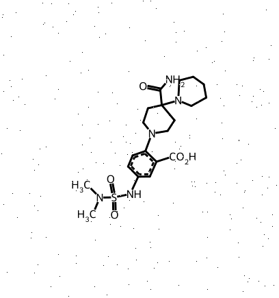 CN(C)S(=O)(=O)Nc1ccc(N2CCC(C(N)=O)(N3CCCCC3)CC2)c(C(=O)O)c1